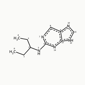 CCC(CC)Nc1ncc2nc[nH]c2n1